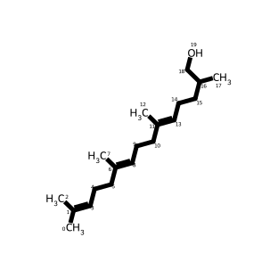 CC(C)=CCC/C(C)=C/CC/C(C)=C/CCC(C)CO